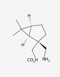 CC1(C)[C@H]2[C@@H]1CC[C@]2(CN)CC(=O)O